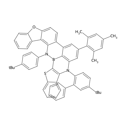 Cc1cc(C)c(-c2cc3c4c(c2)N(c2ccc(C(C)(C)C)cc2-c2ccccc2)c2c(sc5ccccc25)B4N(c2ccc(C(C)(C)C)cc2)c2c-3ccc3oc4ccccc4c23)c(C)c1